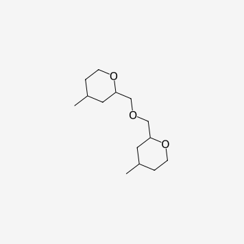 CC1CCOC(COCC2CC(C)CCO2)C1